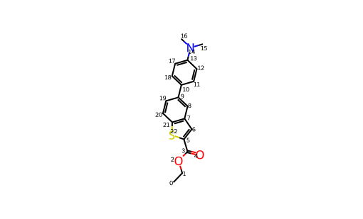 CCOC(=O)c1cc2cc(-c3ccc(N(C)C)cc3)ccc2s1